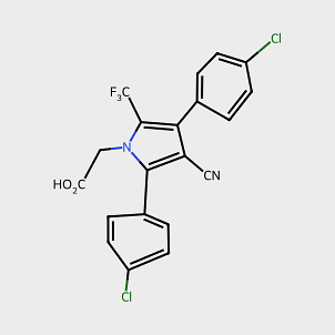 N#Cc1c(-c2ccc(Cl)cc2)c(C(F)(F)F)n(CC(=O)O)c1-c1ccc(Cl)cc1